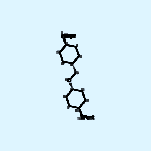 CCCCCCC[C@H]1CC[C@H](CO[C@H]2CC[C@H](CCCCC)CC2)CC1